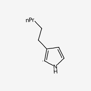 CCCCCc1[c][nH]cc1